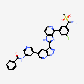 CS(=O)(=O)C(N)c1cc(F)cc(-c2nccc3[nH]c(-c4n[nH]c5ncc(-c6cncc(NC(=O)c7ccccc7)c6)cc45)nc23)c1